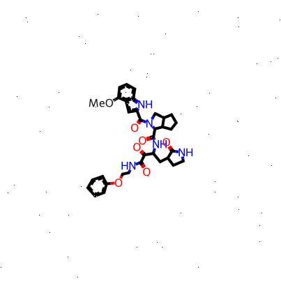 COc1cccc2[nH]c(C(=O)N3CC4CCCC4C3C(=O)NC(CC3CCNC3=O)C(=O)C(=O)NCCOc3ccccc3)cc12